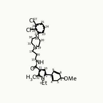 CCn1c(C2=CCC(OC)C=C2)cc(C(=O)NCCCN2CCN(c3cccc(Cl)c3Cl)CC2)c1C